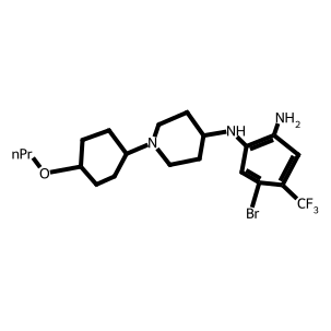 CCCOC1CCC(N2CCC(Nc3cc(Br)c(C(F)(F)F)cc3N)CC2)CC1